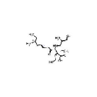 CC[C@H](C)C/C=C/CC(=O)N(NCC(N)CS)[C@](CC)(CCO)C(=O)O